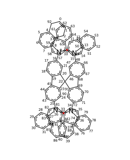 C1=CCc2c(cccc2N(c2ccccc2)c2ccc3c(c2)C2(c4cc(N(c5ccccc5)c5cccc6ccccc56)ccc4-3)c3cc(N(c4ccccc4)c4cccc5ccccc45)ccc3-c3ccc(N(c4ccccc4)c4cccc5ccccc45)cc32)C1